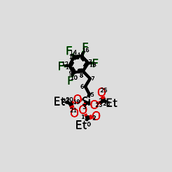 CCC(=O)O[Si](CCCc1c(F)c(F)c(F)c(F)c1F)(OC(=O)CC)OC(=O)CC